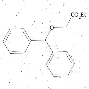 CCOC(=O)COC(c1ccccc1)c1ccccc1